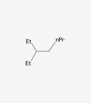 CC[CH]CC(CC)CC